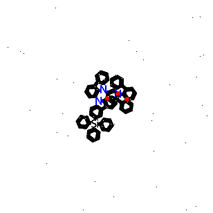 c1ccc(-c2ccc(-n3c4ccccc4c4cccc(-n5c6ccc([Si](c7ccccc7)(c7ccccc7)c7ccccc7)cc6c6ccc(-n7c8ccccc8c8ccccc87)cc65)c43)cc2)cc1